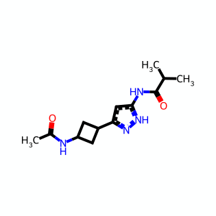 CC(=O)NC1CC(c2cc(NC(=O)C(C)C)[nH]n2)C1